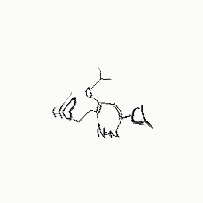 CC(C)Oc1cc(Cl)nnc1CO